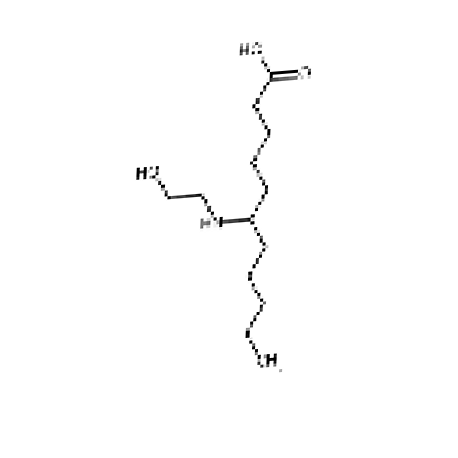 CCCCCC(CCCCC(=O)O)NCCO